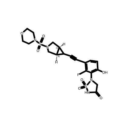 O=C1CN(c2c(O)ccc(C#CC3[C@H]4CN(S(=O)(=O)N5CCOCC5)C[C@@H]34)c2F)S(=O)(=O)N1